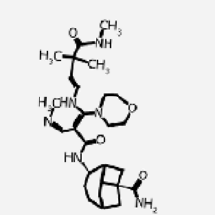 C/N=C\C(C(=O)N[C@@H]1CCC2CC3C1C[C@]3(C(N)=O)C2)=C(/N/C=C/C(C)(C)C(=O)NC)N1CCOCC1